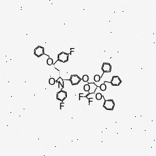 O=C1[C@H](CC[C@H](OCc2ccccc2)c2ccc(F)cc2)[C@@H](c2ccc(O[C@@H]3OC(=C(F)F)[C@@H](OCc4ccccc4)[C@H](OCc4ccccc4)[C@H]3OCc3ccccc3)cc2)N1c1ccc(F)cc1